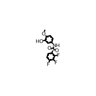 COc1ccc(NS(=O)(=O)c2ccc(F)c(F)c2F)cc1O